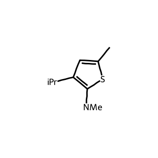 CNc1sc(C)cc1C(C)C